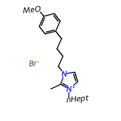 CCCCCCC[n+]1ccn(CCCCc2ccc(OC)cc2)c1C.[Br-]